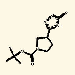 CC(C)(C)OC(=O)N1CCC(c2noc(=O)[nH]2)C1